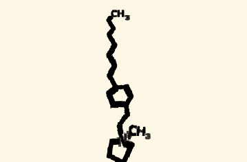 CCCCCCCCc1ccc(CC[N+]2(C)CCCC2)cc1